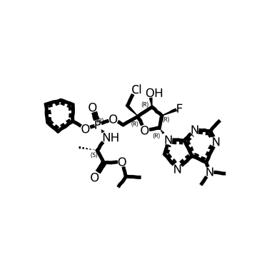 Cc1nc(N(C)C)c2ncn([C@@H]3O[C@](CCl)(CO[P@](=O)(N[C@@H](C)C(=O)OC(C)C)Oc4ccccc4)[C@@H](O)[C@H]3F)c2n1